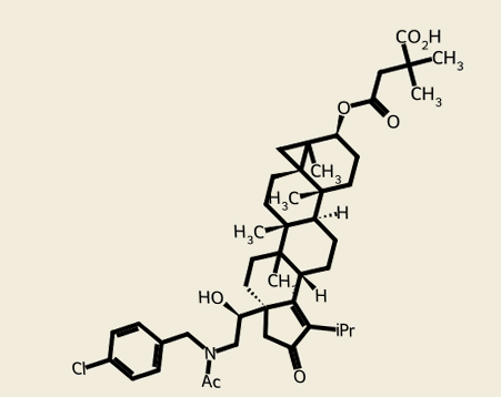 CC(=O)N(Cc1ccc(Cl)cc1)C[C@@H](O)[C@@]12CCC3(C)[C@H](CC[C@H]4[C@@]3(C)CC[C@@]35CC3(C)[C@@H](OC(=O)CC(C)(C)C(=O)O)CC[C@]45C)C1=C(C(C)C)C(=O)C2